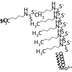 CCCCCNC(=S)[S-].CCCCCNC(=S)[S-].CCCCCNC(=S)[S-].CCCCCNC(=S)[S-].CCCCCNC(=S)[S-].CCCCCNC(=S)[S-].O=S.O=S.O=S.O=S.O=S.O=S.[Mo+6]